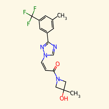 Cc1cc(-c2ncn(/C=C\C(=O)N3CC(C)(O)C3)n2)cc(C(F)(F)F)c1